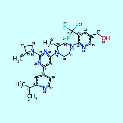 CC(C)c1cc(-c2cc(N3CCN(c4ncc(CO)cc4C(F)(F)F)CC3C)nc(N3CCC3C)n2)ccn1